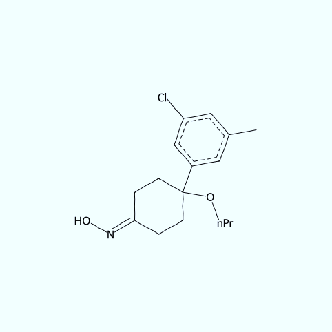 CCCOC1(c2cc(C)cc(Cl)c2)CCC(=NO)CC1